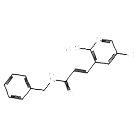 Nc1ncc(Cl)cc1C=CC(=O)NCc1ccccc1